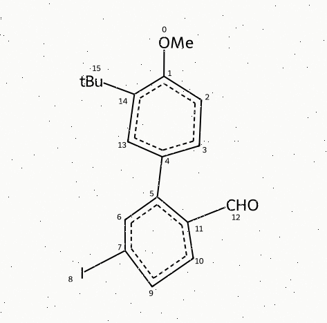 COc1ccc(-c2cc(I)ccc2C=O)cc1C(C)(C)C